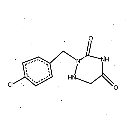 O=C1CNN(Cc2ccc(Cl)cc2)C(=O)N1